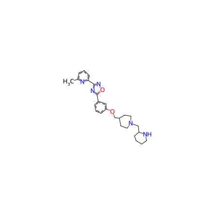 Cc1cccc(-c2noc(-c3cccc(OCC4CCN(CC5CCCCN5)CC4)c3)n2)n1